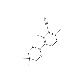 Cc1ccc(B2OCC(C)(C)CO2)c(F)c1C#N